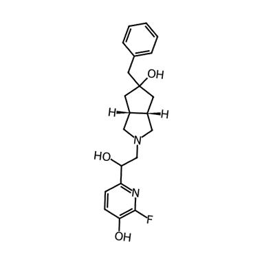 Oc1ccc(C(O)CN2C[C@@H]3CC(O)(Cc4ccccc4)C[C@@H]3C2)nc1F